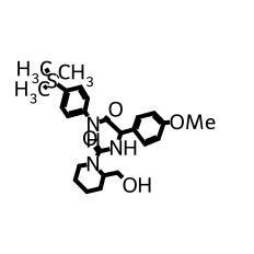 COc1ccc(C(NC(=O)N2CCCCC2CO)C(=O)Nc2ccc(S(C)(C)C)cc2)cc1